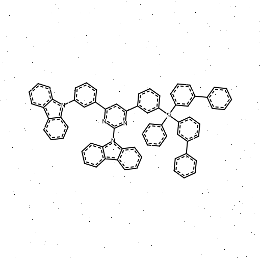 c1ccc(-c2cccc([Si](c3ccccc3)(c3cccc(-c4ccccc4)c3)c3cccc(-c4cc(-c5cccc(-n6c7ccccc7c7ccccc76)c5)nc(-n5c6ccccc6c6ccccc65)n4)c3)c2)cc1